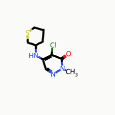 Cn1ncc(NC2CCCSC2)c(Cl)c1=O